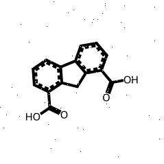 O=C(O)c1cccc2c1Cc1c(C(=O)O)cccc1-2